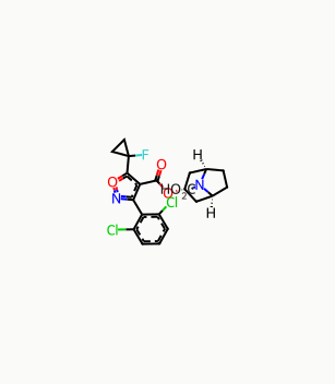 O=C(O[C@@H]1C[C@H]2CC[C@@H](C1)N2C(=O)O)c1c(-c2c(Cl)cccc2Cl)noc1C1(F)CC1